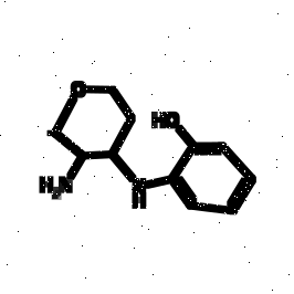 NC1[CH]OCCC1Nc1ccccc1O